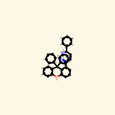 N=C(/C=C\C(=N)c1cccc2c1C(c1ccccc1)(c1ccccc1)c1ccccc1O2)c1ccccc1